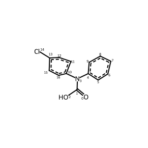 O=C(O)N(c1ccccc1)c1ccc(Cl)cc1